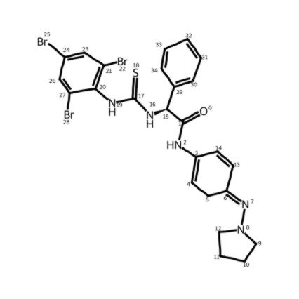 O=C(NC1=CCC(=NN2CCCC2)C=C1)[C@@H](NC(=S)Nc1c(Br)cc(Br)cc1Br)c1ccccc1